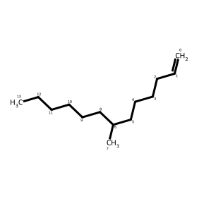 C=CCCCCC(C)CCCCCC